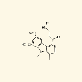 CCNCCN(CC)c1ncc(C)c2c1c1cc(OC)ccc1n2C.Cl.Cl